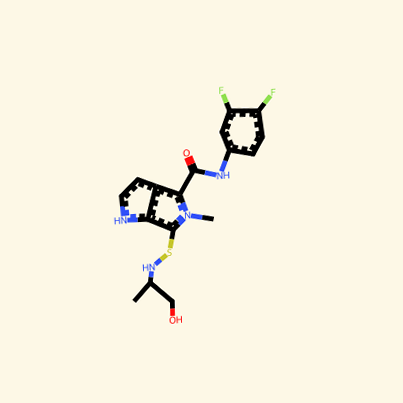 CC(CO)NSc1c2[nH]ccc2c(C(=O)Nc2ccc(F)c(F)c2)n1C